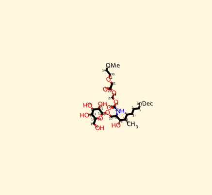 CCCCCCCCCCCCCC[C@@H](C)[C@@H](O)C(CO[C@H]1OC(CO)[C@H](O)[C@H](O)C1O)NC(=O)OCOC(=O)COCCOC